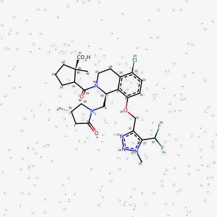 C[C@H]1CC(=O)N(C[C@@H]2c3c(OCc4nnn(C)c4C(F)F)ccc(Cl)c3CCN2C(=O)C2CCC[C@@]2(C)C(=O)O)C1